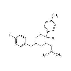 Cc1ccc(C2(O)CCC(Cc3ccc(F)cc3)CC2CN(C)C)cc1